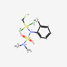 Cc1ccccc1N(S(Cl)(Cl)CF)S(=O)(=O)N(C)C